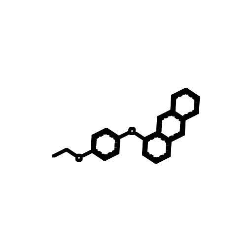 CCOc1ccc(Oc2cccc3cc4ccccc4cc23)cc1